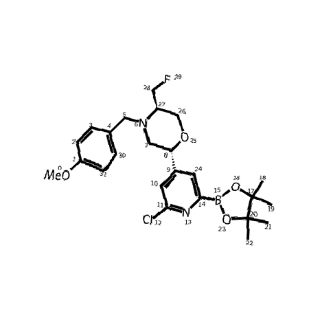 COc1ccc(CN2C[C@@H](c3cc(Cl)nc(B4OC(C)(C)C(C)(C)O4)c3)OC[C@@H]2CF)cc1